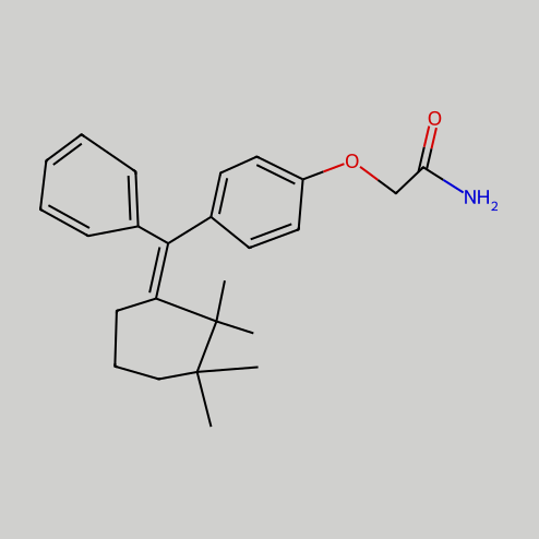 CC1(C)CCCC(=C(c2ccccc2)c2ccc(OCC(N)=O)cc2)C1(C)C